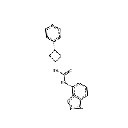 O=C(Nc1cccc2[nH]ncc12)N[C@H]1C[C@@H](c2ccccc2)C1